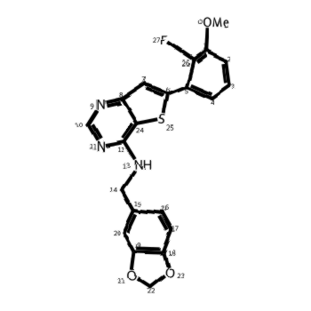 COc1cccc(-c2cc3ncnc(NCc4ccc5c(c4)OCO5)c3s2)c1F